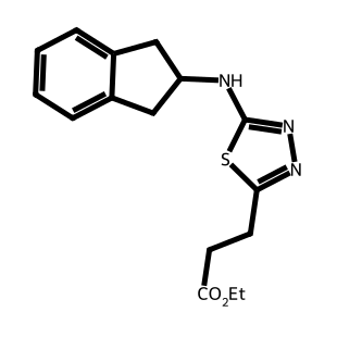 CCOC(=O)CCc1nnc(NC2Cc3ccccc3C2)s1